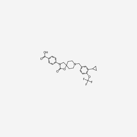 O=C(O)c1ccc(N2CC3(CCN(Cc4ccc(OC(F)(F)F)c(C5CC5)c4)CC3)OC2=O)cc1